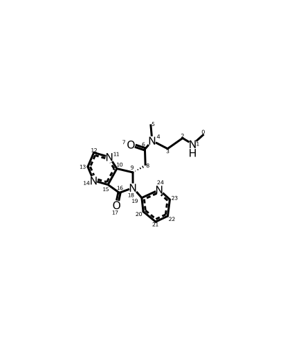 CNCCN(C)C(=O)C[C@H]1c2nccnc2C(=O)N1c1ccccn1